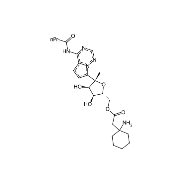 CCCC(=O)Nc1ncnn2c([C@]3(C)O[C@H](COC(=O)CC4(N)CCCCC4)[C@@H](O)[C@H]3O)ccc12